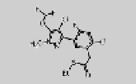 CCSC(=O)Cc1cc(-c2nn(C)c(OC(F)F)c2Cl)c(F)cc1Cl